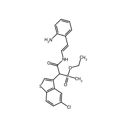 CCOP(C)(=O)C(C(=O)N/C=C/c1ccccc1N)c1csc2ccc(Cl)cc12